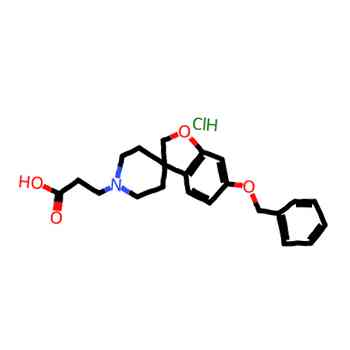 Cl.O=C(O)CCN1CCC2(CC1)COc1cc(OCc3ccccc3)ccc12